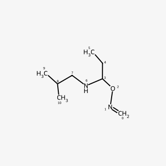 C=NOC(CC)NCC(C)C